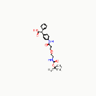 CC(C)(C)OC(=O)NCCOCCC(=O)Nc1ccc(C(C(=O)O)c2ccccc2)cc1